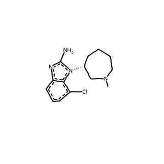 CN1CCCC[C@@H](n2c(N)nc3cccc(Cl)c32)C1